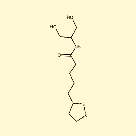 O=C(CCCCC1CCSS1)NC(CO)CO